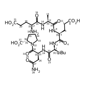 CC[C@H](C)[C@H](NC(=O)[C@H](CCC(=O)O)NC(=O)[C@H](C)NC(=O)[C@@H](N)CCC(=O)O)C(=O)N[C@@H](CC(N)=O)C(=O)N1CCC[C@H]1C(=O)O